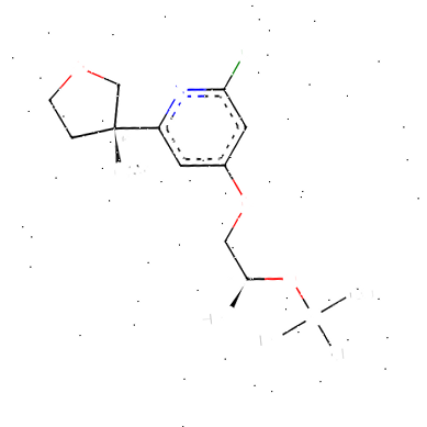 CO[C@@]1(c2cc(OC[C@H](C)O[Si](C)(C)C(C)(C)C)cc(Cl)n2)CCOC1